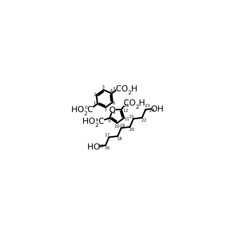 O=C(O)c1ccc(C(=O)O)cc1.O=C(O)c1ccc(C(=O)O)o1.OCCCCCCCCO